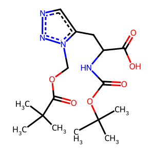 CC(C)(C)OC(=O)NC(Cc1cnnn1COC(=O)C(C)(C)C)C(=O)O